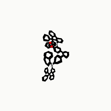 c1ccc(C2(c3ccccc3)c3ccccc3-c3ccc(N(c4ccc(-c5ccccc5-c5ccc6c7ccccc7n(-c7cccc8c7C(c7ccccc7)(c7ccccc7)c7ccccc7-8)c6c5)cc4)c4cccc5ccccc45)cc32)cc1